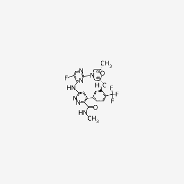 CNC(=O)c1nnc(Nc2nc(N3C[C@@H](C)O[C@@H](C)C3)ncc2F)cc1-c1ccc(C(F)(F)F)cc1